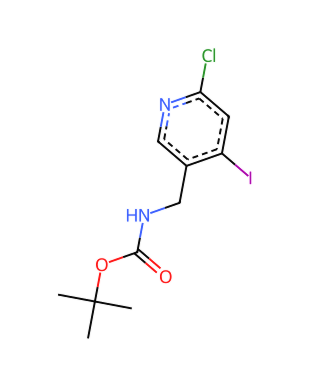 CC(C)(C)OC(=O)NCc1cnc(Cl)cc1I